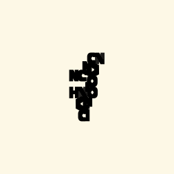 N#Cc1ccc(OCC(=O)Nc2ccc(Cl)cn2)c(C#N)n1